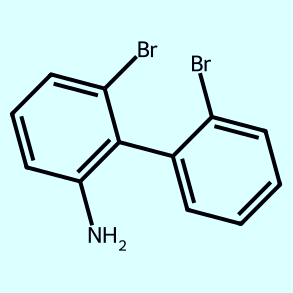 Nc1cccc(Br)c1-c1ccccc1Br